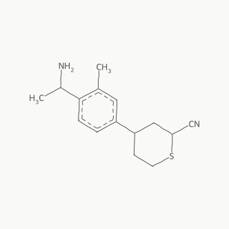 Cc1cc(C2CCSC(C#N)C2)ccc1C(C)N